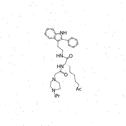 CC(=O)CCCCC[C@H](NC(=O)CN1CCN(C(C)C)CC1)C(=O)NCCc1c(-c2ccccc2)[nH]c2ccccc12